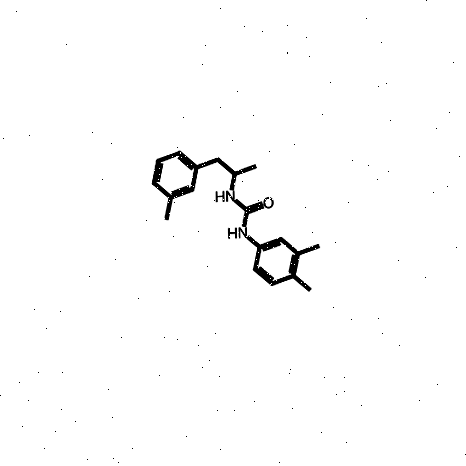 Cc1cccc(CC(C)NC(=O)Nc2ccc(C)c(C)c2)c1